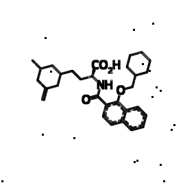 C=C1CC(C)CC(CC[C@H](NC(=O)c2ccc3ccccc3c2OCC2CCCCC2)C(=O)O)C1